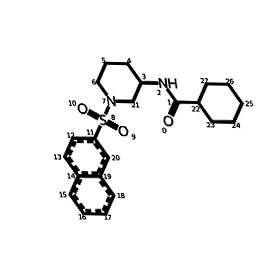 O=C(NC1CCCN(S(=O)(=O)c2ccc3ccccc3c2)C1)C1CCCCC1